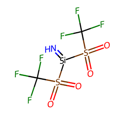 N=[Si](S(=O)(=O)C(F)(F)F)S(=O)(=O)C(F)(F)F